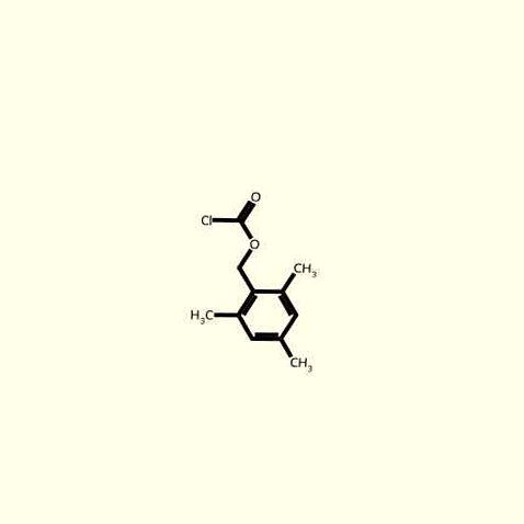 Cc1cc(C)c(COC(=O)Cl)c(C)c1